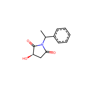 CC(c1ccccc1)N1C(=O)C[C@@H](O)C1=O